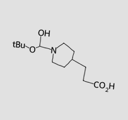 CC(C)(C)OC(O)N1CCC(CCC(=O)O)CC1